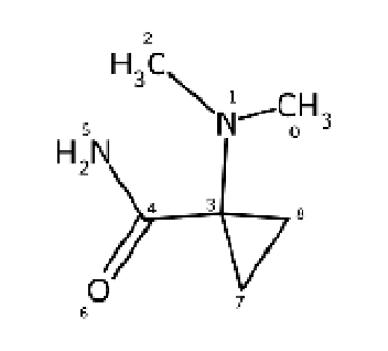 CN(C)C1(C(N)=O)CC1